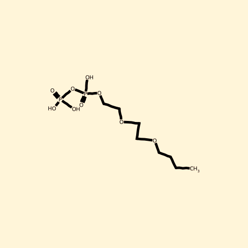 CCCCOCCOCCOP(=O)(O)OP(=O)(O)O